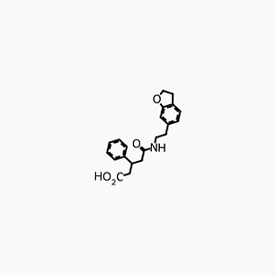 O=C(O)CC(CC(=O)NCCc1ccc2c(c1)OCC2)c1ccccc1